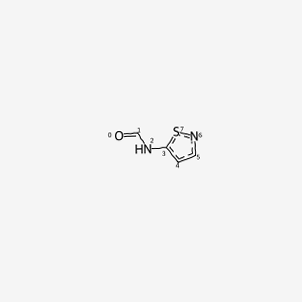 O=CNc1ccns1